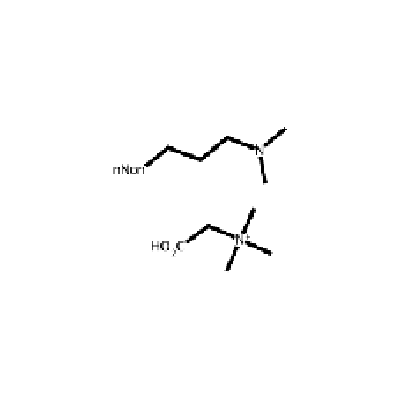 CCCCCCCCCCCCN(C)C.C[N+](C)(C)CC(=O)O